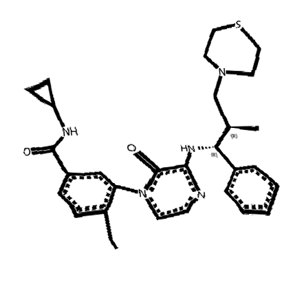 Cc1ccc(C(=O)NC2CC2)cc1-n1ccnc(N[C@@H](c2ccccc2)[C@H](C)CN2CCSCC2)c1=O